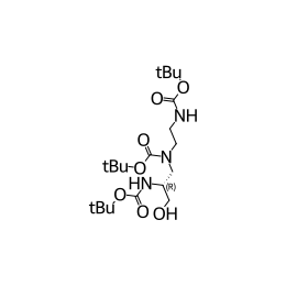 CC(C)(C)OC(=O)NCCN(C[C@H](CO)NC(=O)OC(C)(C)C)C(=O)OC(C)(C)C